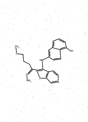 COCCC/C(=N/N)c1oc2cnccc2c1Nc1ccc2c(O)cccc2c1